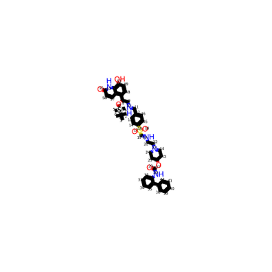 CC(C)(C)[Si](C)(C)OC(CNCc1ccc(S(=O)(=O)CNCCN2CCC(OC(=O)Nc3ccccc3-c3ccccc3)CC2)cc1)c1ccc(O)c2[nH]c(=O)ccc12